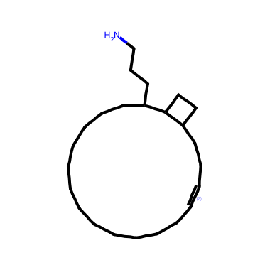 NCCCC1CCCCCCCCCCCC/C=C\CCC2CCC12